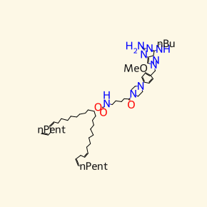 CCCCC/C=C\C/C=C\CCCCCCCCC(CCCCCCCC/C=C\C/C=C\CCCCC)OC(=O)NCCCCC(=O)N1CCN(c2ccc(Cn3cc4nc(N)nc(NCCCC)c4n3)c(OC)c2)CC1